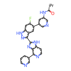 CC(C)C(=O)Nc1cncc(-c2cc3c(-c4nc5c(-c6cccnc6)nccc5[nH]4)n[nH]c3cc2F)c1